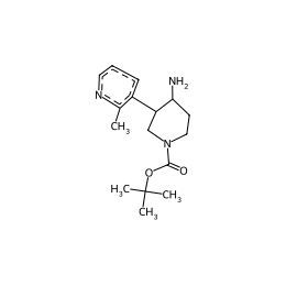 Cc1ncccc1C1CN(C(=O)OC(C)(C)C)CCC1N